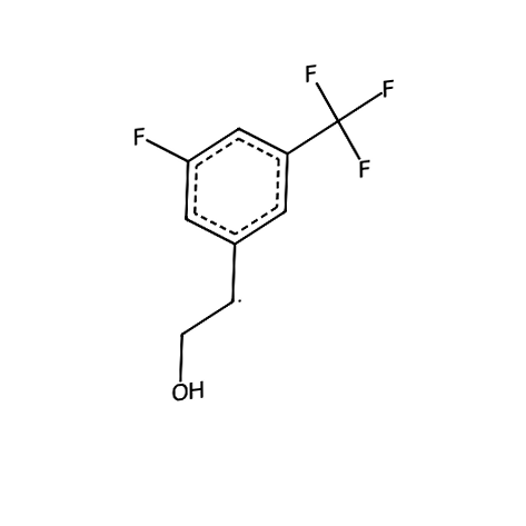 OC[CH]c1cc(F)cc(C(F)(F)F)c1